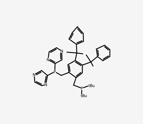 CC(C)(c1ccccc1)c1cc(CP(c2cnccn2)c2cnccn2)c(CP(C(C)(C)C)C(C)(C)C)cc1C(C)(C)c1ccccc1